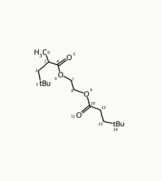 CC(CC(C)(C)C)C(=O)OCCOC(=O)CCC(C)(C)C